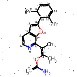 C=C(N)O/C(C)=C(/C)c1nccc2cc(C3C(C(C)C)=CC=CC3C(C)C)oc12